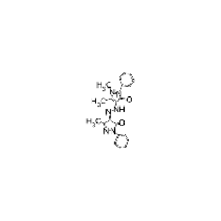 CC1=NN(c2ccccc2)C(=O)C1=NNc1c(C)n(C)n(-c2ccccc2)c1=O